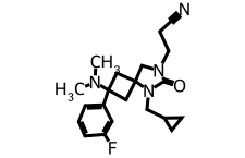 CN(C)C1(c2cccc(F)c2)CC2(CN(CCC#N)C(=O)N2CC2CC2)C1